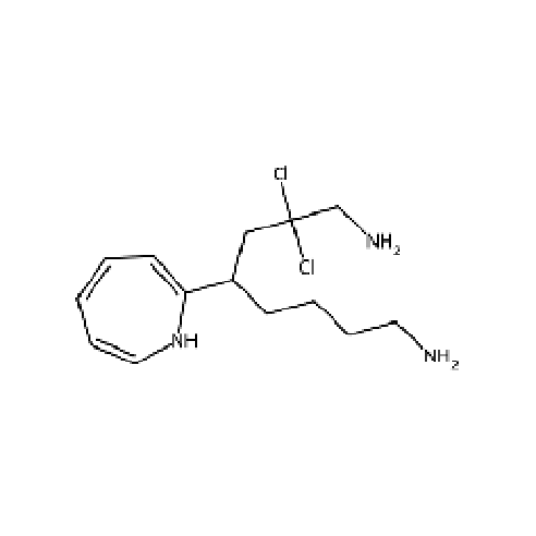 NCCCCC(CC(Cl)(Cl)CN)C1=CC=CC=CN1